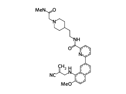 C=C(C#N)CNc1c(OC)ccc2ccc(-c3cccc(C(=O)NCCC4CCN(CC(=O)NC)CC4)n3)cc12